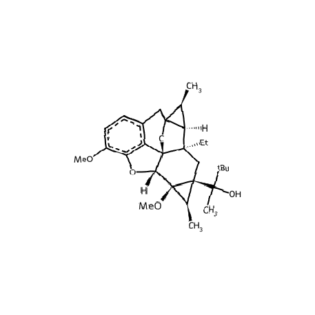 CC[C@]12C[C@]3(C(C)(O)C(C)(C)C)[C@@H](C)[C@]3(OC)[C@@H]3Oc4c(OC)ccc5c4[C@@]31CC1(C5)[C@H]2[C@@H]1C